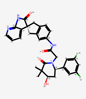 CC1(C)C(=O)N(CC(=O)Nc2ccc3c(c2)C[C@@]2(C3)C(=O)Nc3ncccc32)[C@@H](c2cc(F)cc(F)c2)C[C@H]1O